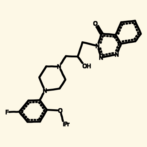 CC(C)Oc1ccc(F)cc1N1CCN(CC(O)Cn2nnc3ccccc3c2=O)CC1